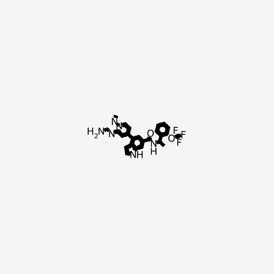 C=Nn1ccc(-c2cc(C(=O)NC(C)c3ccccc3OC(F)(F)F)cc3[nH]ccc23)c/c1=N/CN